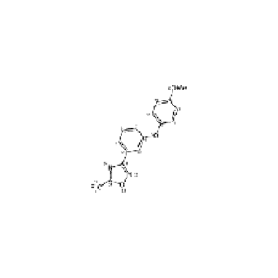 COc1ccc(Oc2[c]ccc(-c3noc(C(F)(F)F)n3)c2)cc1